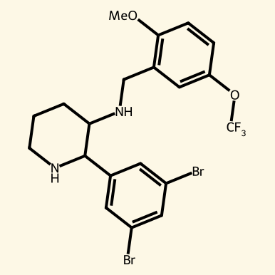 COc1ccc(OC(F)(F)F)cc1CNC1CCCNC1c1cc(Br)cc(Br)c1